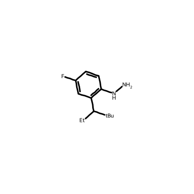 CCC(c1cc(F)ccc1NN)C(C)(C)C